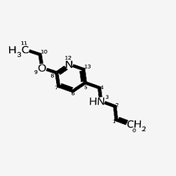 C=CCNCc1ccc(OCC)nc1